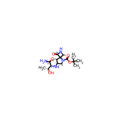 C[C@@H](O)[C@H](NC1CN(C(=O)OC(C)(C)C)C2(CNC2=O)C1)C(N)=O